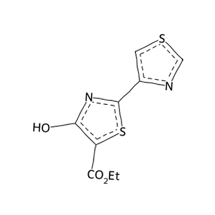 CCOC(=O)c1sc(-c2cscn2)nc1O